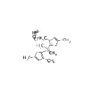 CC1=CC(C)=C([Si](C)(C)C2=C(C)C=C(C)C2)C1.[Cl-].[Cl-].[Hf+2]